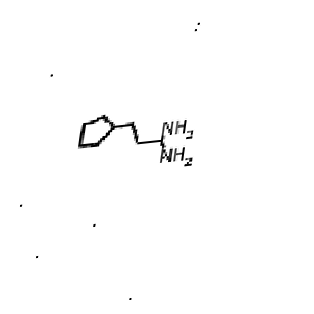 NC(N)CCC1CCCC1